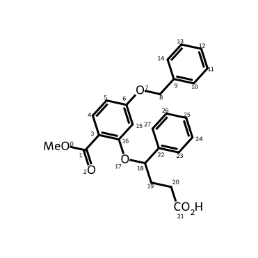 COC(=O)c1ccc(OCc2ccccc2)cc1OC(CCC(=O)O)c1ccccc1